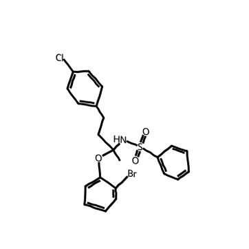 CC(CCc1ccc(Cl)cc1)(NS(=O)(=O)c1ccccc1)Oc1ccccc1Br